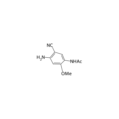 COc1cc(N)c(C#N)cc1NC(C)=O